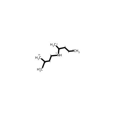 CCCC(C)NCCC(C)C